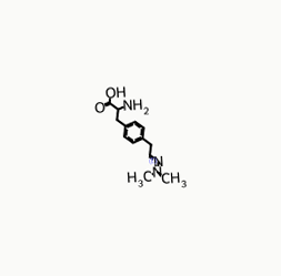 CN(C)/N=C/Cc1ccc(CC(N)C(=O)O)cc1